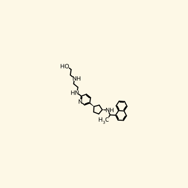 CC(N[C@H]1CC[C@@H](c2ccc(NCCNCCO)nc2)C1)c1cccc2ccccc12